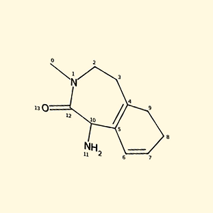 CN1CCC2=C(C=CCC2)C(N)C1=O